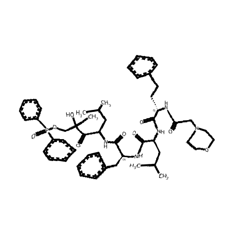 CC(C)CC(NC(=O)[C@H](CCc1ccccc1)NC(=O)CN1CCOCC1)C(=O)N[C@@H](Cc1ccccc1)C(=O)NC(CC(C)C)C(=O)C(C)(O)COP(=O)(c1ccccc1)c1ccccc1